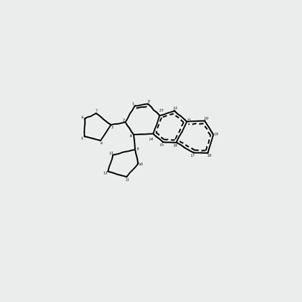 C1=CC(C2CCCC2)C(C2CCCC2)c2cc3ccccc3cc21